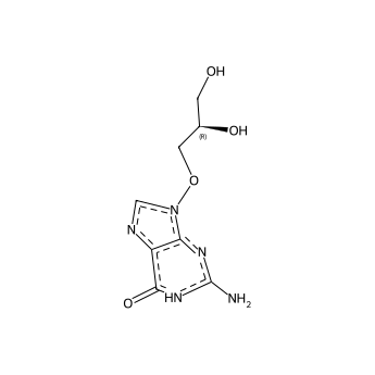 Nc1nc2c(ncn2OC[C@H](O)CO)c(=O)[nH]1